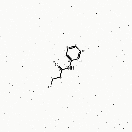 O=C(CCF)Nc1cc[c]cc1